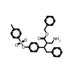 Cc1ccc(S(=O)(=O)Oc2ccc(C(Cc3ccccc3)C(CN)C(=O)OCc3ccccc3)cc2)cc1